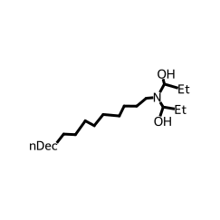 CCCCCCCCCCCCCCCCCCCN(C(O)CC)C(O)CC